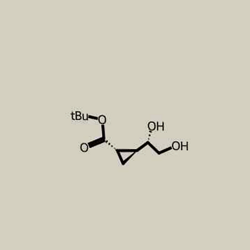 CC(C)(C)OC(=O)[C@H]1C[C@@H]1[C@H](O)CO